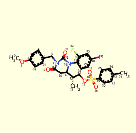 COc1ccc(CN2C(=O)CC([C@@H](C)COS(=O)(=O)c3ccc(C)cc3)N(c3ccc(I)cc3F)C2=O)cc1